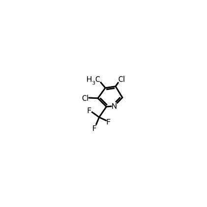 Cc1c(Cl)cnc(C(F)(F)F)c1Cl